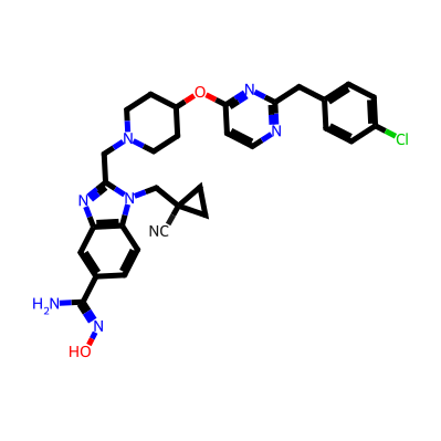 N#CC1(Cn2c(CN3CCC(Oc4ccnc(Cc5ccc(Cl)cc5)n4)CC3)nc3cc(/C(N)=N/O)ccc32)CC1